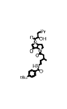 CC(C)CC(O)C(=O)N1CC(=O)C2C1CCN2C(=O)CC(C)CCNC(=O)c1ccc(C(C)(C)C)cc1